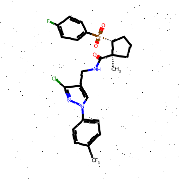 C[C@@]1(C(=O)NCc2cn(-c3ccc(C(F)(F)F)cc3)nc2Cl)CCC[C@H]1S(=O)(=O)c1ccc(F)cc1